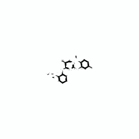 CNS(=O)(=O)c1ccccc1Nc1nc(Nc2cc(C)ccc2OC)ncc1Cl